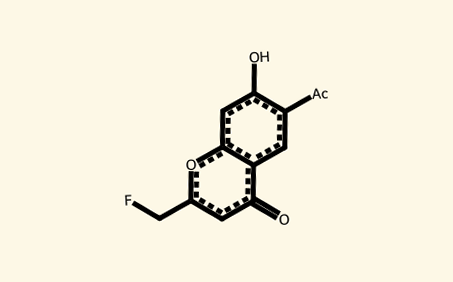 CC(=O)c1cc2c(=O)cc(CF)oc2cc1O